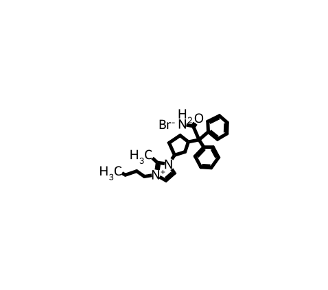 CCCC[n+]1ccn(C2CCC(C(C(N)=O)(c3ccccc3)c3ccccc3)C2)c1C.[Br-]